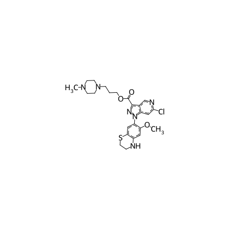 COc1cc2c(cc1-n1nc(C(=O)OCCCN3CCN(C)CC3)c3cnc(Cl)cc31)SCCN2